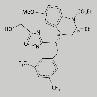 CCOC(=O)N1c2ccc(OC)cc2[C@@H](N(Cc2cc(C(F)(F)F)cc(C(F)(F)F)c2)c2noc(CO)n2)C[C@H]1CC